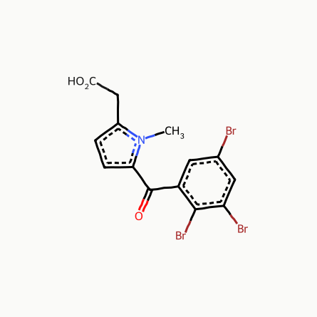 Cn1c(CC(=O)O)ccc1C(=O)c1cc(Br)cc(Br)c1Br